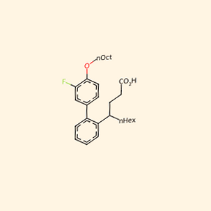 CCCCCCCCOc1ccc(-c2ccccc2C(CCCCCC)CCC(=O)O)cc1F